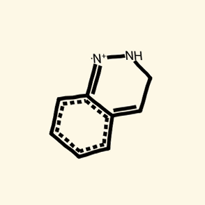 C1=c2ccccc2=[N+]NC1